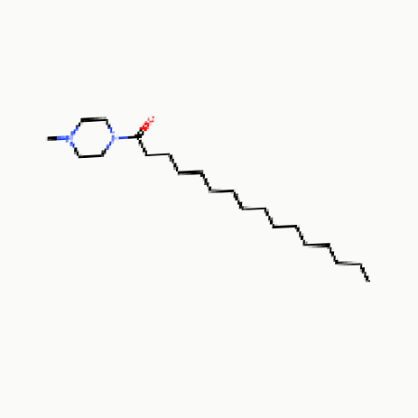 CCCCCCCCCCCCCCCC(=O)N1CCN(C)CC1